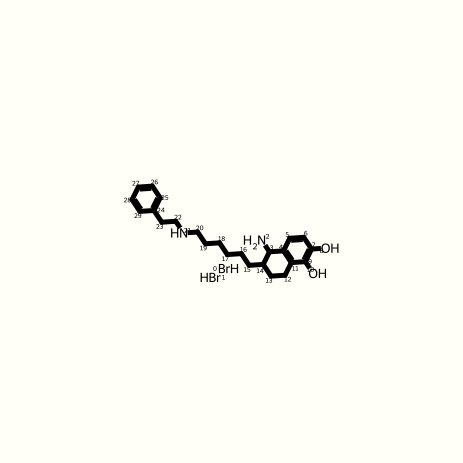 Br.Br.NC1c2ccc(O)c(O)c2CCC1CCCCCCNCCc1ccccc1